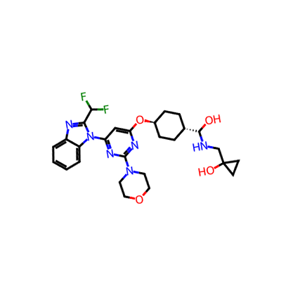 OC(NCC1(O)CC1)[C@H]1CC[C@H](Oc2cc(-n3c(C(F)F)nc4ccccc43)nc(N3CCOCC3)n2)CC1